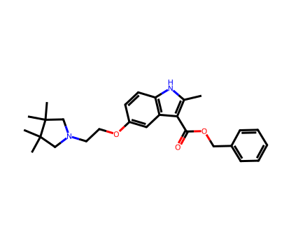 Cc1[nH]c2ccc(OCCN3CC(C)(C)C(C)(C)C3)cc2c1C(=O)OCc1ccccc1